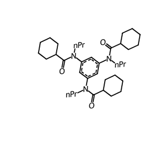 CCCN(C(=O)C1CCCCC1)c1cc(N(CCC)C(=O)C2CCCCC2)cc(N(CCC)C(=O)C2CCCCC2)c1